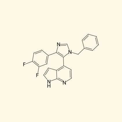 Fc1ccc(-c2ncn(Cc3ccccc3)c2-c2ccnc3[nH]ccc23)cc1F